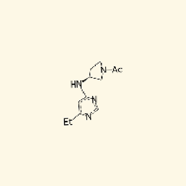 CCc1cc(N[C@H]2CCN(C(C)=O)C2)ncn1